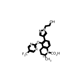 C[C@H]1CCc2c(ccc(-c3cnn(CCO)c3)c2Oc2ncc(C(F)(F)F)cn2)N1C(=O)O